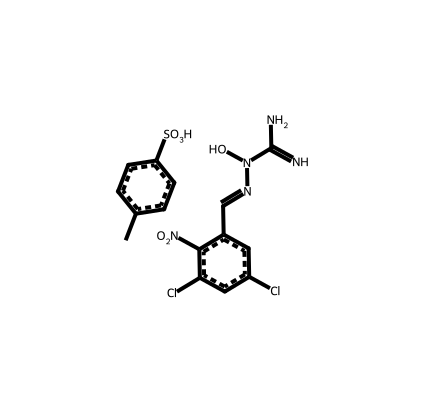 Cc1ccc(S(=O)(=O)O)cc1.N=C(N)N(O)/N=C/c1cc(Cl)cc(Cl)c1[N+](=O)[O-]